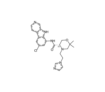 CC1(C)CN(CCn2ccnc2)[C@H](C(=O)Nc2cc(Cl)cc3c2[nH]c2cnccc23)CO1